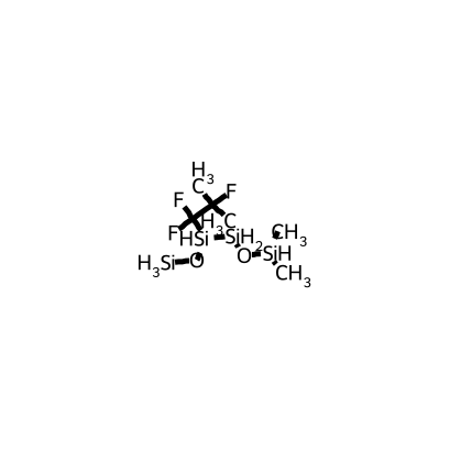 C[SiH](C)O[SiH2][SiH](O[SiH3])C(F)(F)C(C)(C)F